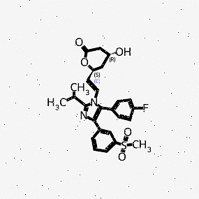 CC(C)c1nc(-c2cccc(S(C)(=O)=O)c2)c(-c2ccc(F)cc2)n1/C=C/[C@@H]1C[C@@H](O)CC(=O)O1